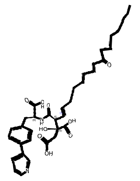 CCCCCCCC(=O)CCCCCC/C=C/[C@H](C(=O)N[C@@H](Cc1ccc(-c2cccnc2)cc1)C(=O)O)[C@@](O)(CC(=O)O)C(=O)O